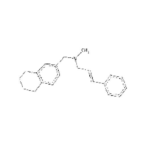 CN(C/C=C/c1ccccc1)Cc1ccc2c(c1)CCCC2